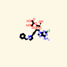 Nc1nc(Cl)nc2c1ncn2[C@H](O[C@@H](CO)COC(C(=O)O)C(=O)O)[C@H](O)C#Cc1ccn(Cc2ccccc2)n1